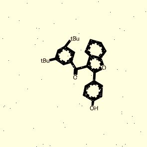 CC(C)(C)c1cc(C(=O)c2c(-c3ccc(O)cc3)oc3ccccc23)cc(C(C)(C)C)c1